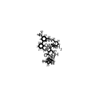 COc1c(CN2O[C@@H](CN)[C@@H]([C@H](C)O)[C@H]2C(=O)NC2C[C@H]3C[C@@H]([C@@H]2C)C3(C)C)cccc1-c1cc(CNCC2CCCN2C)cc(N(C)C)c1